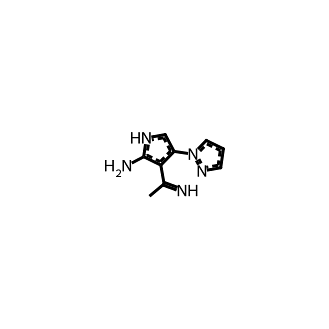 CC(=N)c1c(-n2cccn2)c[nH]c1N